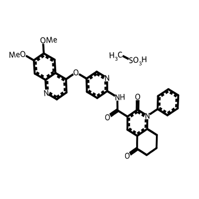 COc1cc2nccc(Oc3ccc(NC(=O)c4cc5c(n(-c6ccccc6)c4=O)CCCC5=O)nc3)c2cc1OC.CS(=O)(=O)O